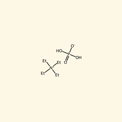 CC[N+](CC)(CC)CC.O=P([O-])(O)O